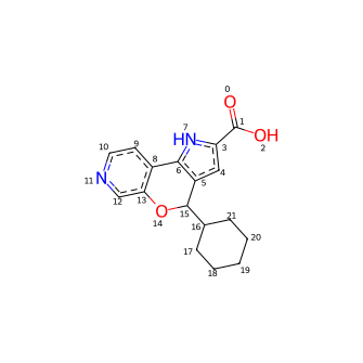 O=C(O)c1cc2c([nH]1)-c1ccncc1OC2C1CCCCC1